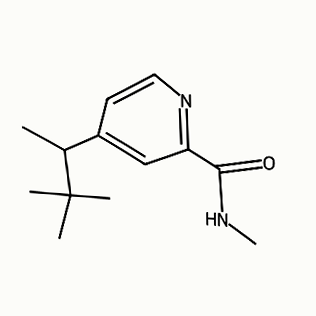 CNC(=O)c1cc(C(C)C(C)(C)C)ccn1